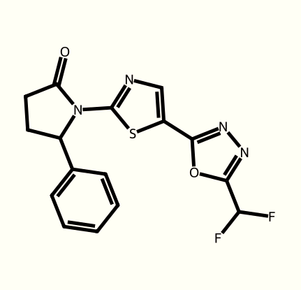 O=C1CCC(c2ccccc2)N1c1ncc(-c2nnc(C(F)F)o2)s1